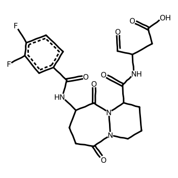 O=CC(CC(=O)O)NC(=O)C1CCCN2C(=O)CCC(NC(=O)c3ccc(F)c(F)c3)C(=O)N12